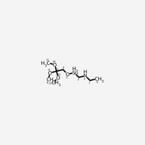 CCNC[SiH2]OCC(OC)(OC)OC